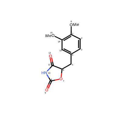 COc1ccc(CC2OC(=O)NC2=O)cc1OC